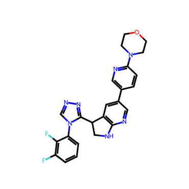 Fc1cccc(-n2cnnc2C2CNc3ncc(-c4ccc(N5CCOCC5)nc4)cc32)c1F